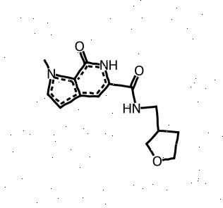 Cn1ccc2cc(C(=O)NCC3CCOC3)[nH]c(=O)c21